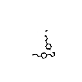 CC(C)(C)OC(=O)C=Cc1ccc(-n2cccc2-c2ccc(C=CC(=O)O)cc2)cc1